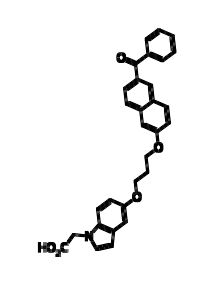 O=C(O)Cn1ccc2cc(OCCCOc3ccc4cc(C(=O)c5ccccc5)ccc4c3)ccc21